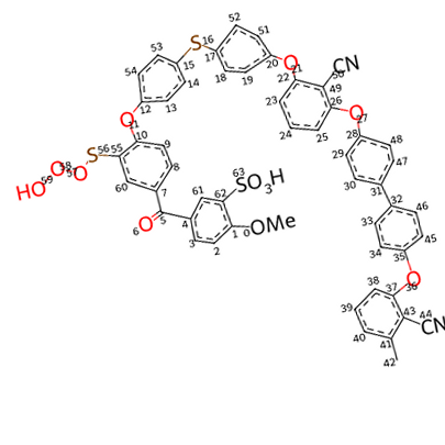 COc1ccc(C(=O)c2ccc(Oc3ccc(Sc4ccc(Oc5cccc(Oc6ccc(-c7ccc(Oc8cccc(C)c8C#N)cc7)cc6)c5C#N)cc4)cc3)c(SOOO)c2)cc1S(=O)(=O)O